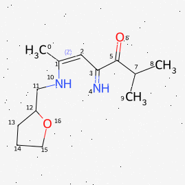 C/C(=C/C(=N)C(=O)C(C)C)NCC1CCCO1